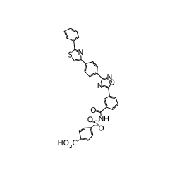 O=C(O)c1ccc(S(=O)(=O)NC(=O)c2cccc(-c3nc(-c4ccc(-c5csc(-c6ccccc6)n5)cc4)no3)c2)cc1